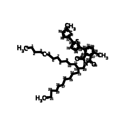 CCCCCCCCCCCCC(CCCCCCCCCC)CN1C(=O)c2c(C)ccc(-c3ccc(-c4ccc(C)s4)s3)c2C1=O